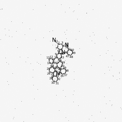 N#Cc1ccc2c(c1)c1cc(-c3ccccc3-c3ccccc3-c3cccc4c5ccccc5n(-c5ccccc5)c34)ccc1n2-c1ccccc1C#N